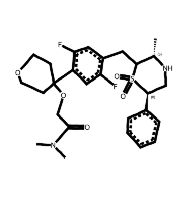 C[C@@H]1NC[C@@H](c2ccccc2)S(=O)(=O)C1Cc1cc(F)c(C2(OCC(=O)N(C)C)CCOCC2)cc1F